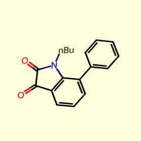 CCCCN1C(=O)C(=O)c2cccc(-c3ccccc3)c21